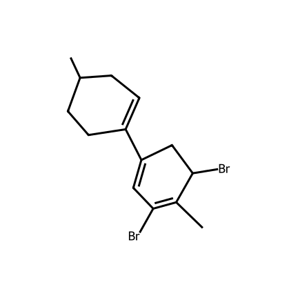 CC1=C(Br)C=C(C2=CCC(C)CC2)CC1Br